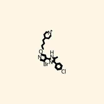 Cc1[nH]c(-c2cc(OCCCCC3CCN(C)CC3)ncc2Br)nc1-c1ccc(Cl)cc1